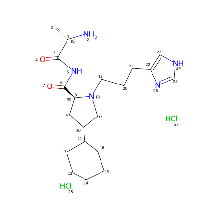 C[C@H](N)C(=O)NC(=O)[C@@H]1CC(C2CCCCC2)CN1CCCc1c[nH]cn1.Cl.Cl